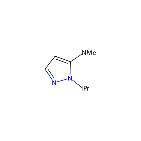 CNc1ccnn1C(C)C